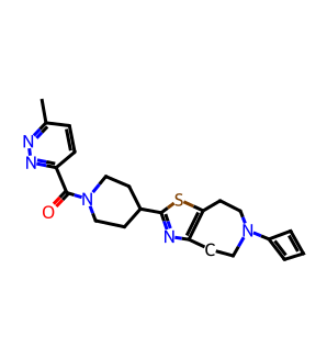 Cc1ccc(C(=O)N2CCC(c3nc4c(s3)CCN(C3=CC=C3)CC4)CC2)nn1